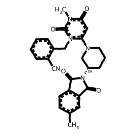 Cc1ccc2c(c1)C(=O)N([C@H]1CCCN(c3cc(=O)n(C)c(=O)n3Cc3ccccc3C#N)C1)C2=O